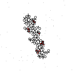 CC(=O)OCC1OC(OC2C(COC(C)=O)OC(OC3C(COC(C)=O)OC(OC4C(COC(C)=O)OC(OC5C(COC(C)=O)OC(OC6C(COC(C)=O)OC(OC7C(COC(C)=O)OC(OC(C)=O)C(OC(C)=O)C7OC(C)=O)C(OC(C)=O)C6OC(C)=O)C(OC(C)=O)C5OC(C)=O)C(OC(C)=O)C4OC(C)=O)C(OC(C)=O)C3OC(C)=O)C(OC(C)=O)C2OC(C)=O)C(OC(C)=O)C(OC(C)=O)C1OC(C)=O